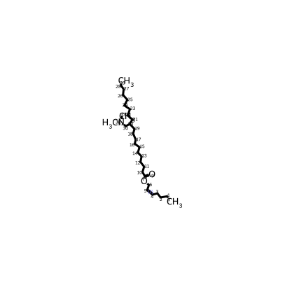 CCCC/C=C\COC(=O)CCCCCCCCCCC(CCCCCCCCC)CN(C)C